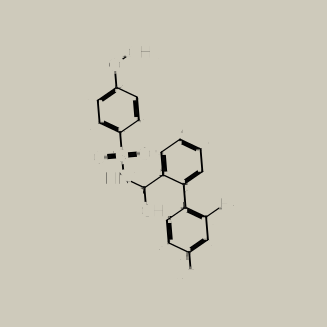 COc1ccc(S(=O)(=O)NC(C)c2ccccc2-c2ccc(F)cc2F)cc1